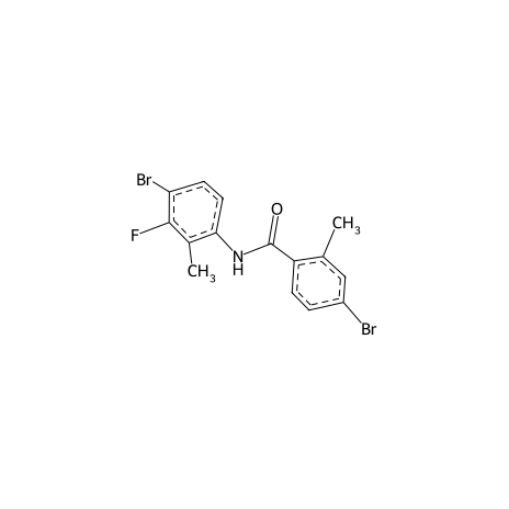 Cc1cc(Br)ccc1C(=O)Nc1ccc(Br)c(F)c1C